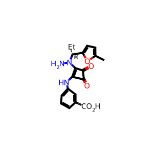 CC[C@H](c1ccc(C)o1)N(N)c1c(Nc2cccc(C(=O)O)c2)c(=O)c1=O